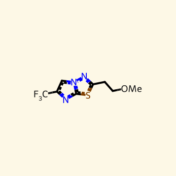 COCCc1nn2cc(C(F)(F)F)nc2s1